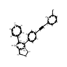 Cc1cccc(C#Cc2ccc(-c3c(-c4ccncc4)nc4n3CCC4)cc2)n1